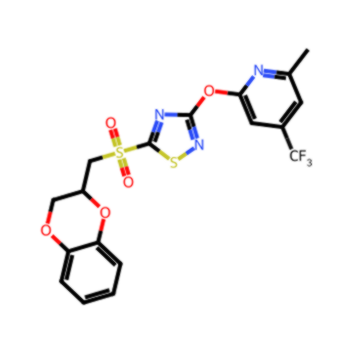 Cc1cc(C(F)(F)F)cc(Oc2nsc(S(=O)(=O)CC3COc4ccccc4O3)n2)n1